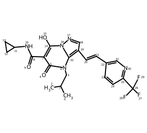 CC(C)Cn1c(=O)c(C(=O)NC2CC2)c(O)n2ncc(C=Cc3ccc(C(F)(F)F)nc3)c12